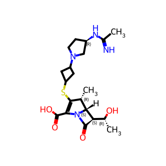 CC(=N)N[C@@H]1CCN(C2CC(SC3=C(C(=O)O)N4C(=O)[C@H]([C@@H](C)O)[C@H]4[C@H]3C)C2)C1